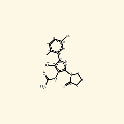 CC(=O)Oc1c(N2CCCC2=O)oc(-c2cc(F)ccc2F)c1O